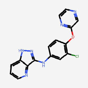 Clc1cc(Nc2n[nH]c3cccnc23)ccc1Oc1cnccn1